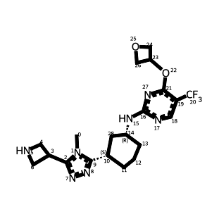 Cn1c(C2CNC2)nnc1[C@H]1CCC[C@@H](Nc2ncc(C(F)(F)F)c(OC3COC3)n2)C1